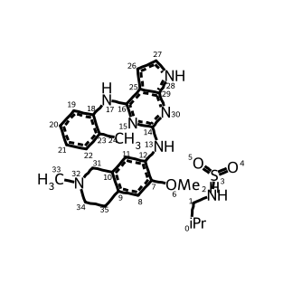 CC(C)CN[SH](=O)=O.COc1cc2c(cc1Nc1nc(Nc3ccccc3C)c3cc[nH]c3n1)CN(C)CC2